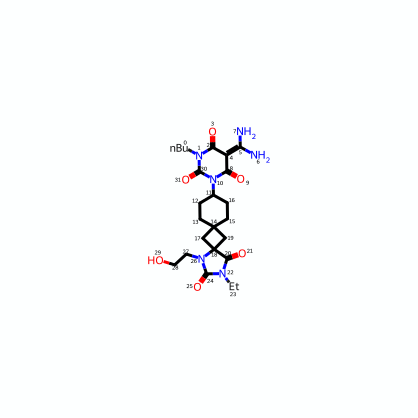 CCCCN1C(=O)C(=C(N)N)C(=O)N(C2CCC3(CC2)CC2(C3)C(=O)N(CC)C(=O)N2CCO)C1=O